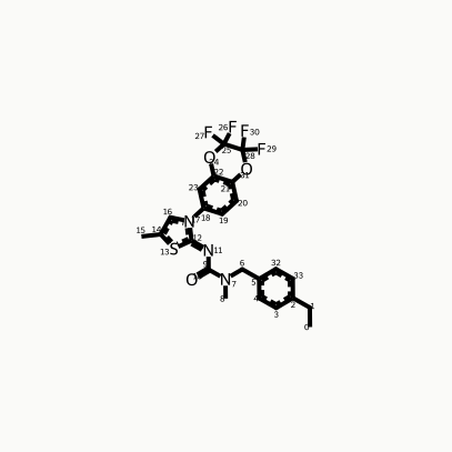 CCc1ccc(CN(C)C(=O)/N=c2\sc(C)cn2-c2ccc3c(c2)OC(F)(F)C(F)(F)O3)cc1